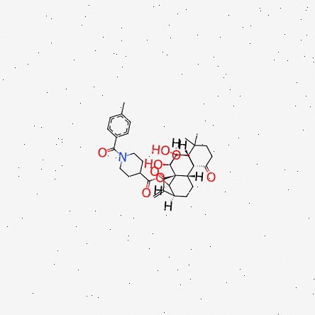 C=C1C(=O)[C@]23[C@H](OC(=O)C4CCN(C(=O)c5ccc(C)cc5)CC4)[C@H]1CC[C@H]2[C@@]12CO[C@]3(O)[C@@H](O)[C@@H]1C(C)(C)CCC2=O